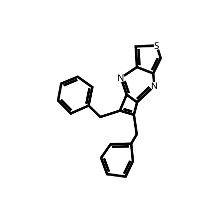 c1ccc(CC2=C(Cc3ccccc3)c3nc4cscc4nc32)cc1